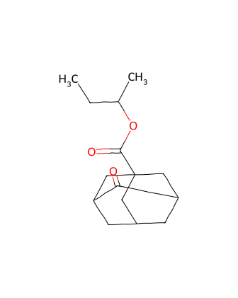 CCC(C)OC(=O)C12CC3CC(C1)C(=O)C(C3)C2